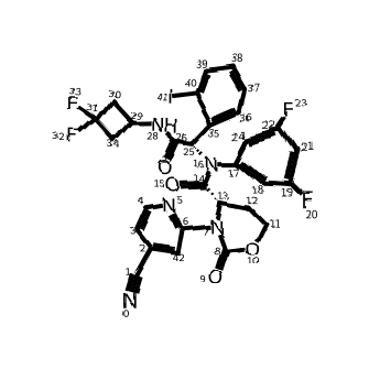 N#Cc1ccnc(N2C(=O)OCC[C@H]2C(=O)N(c2cc(F)cc(F)c2)[C@H](C(=O)NC2CC(F)(F)C2)c2ccccc2I)c1